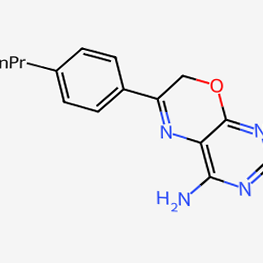 CCCc1ccc(C2=Nc3c(N)ncnc3OC2)cc1